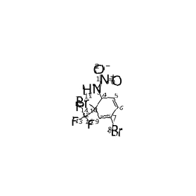 O=[N+]([O-])NC1C=CC(Br)=CC1(Br)C(F)(F)F